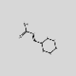 O=C(O)/C=C/C1CCCCC1